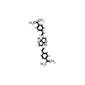 C=C(C)c1ccc(C=C[C@@H]2CO[C@H]3[C@@H]2OC[C@H]3C=Cc2ccc(C(=C)C)cc2)cc1